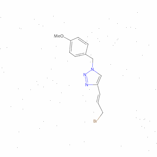 COc1ccc(Cn2cc(/C=C/CBr)nn2)cc1